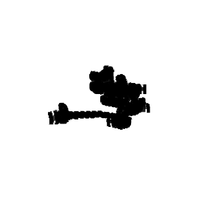 CC(=O)CNC(=O)[C@H](CO)NC(=O)[C@H](CCC(=O)O)NC(=O)CNC(=O)[C@H](CO)NC(=O)CCC(NC(=O)CC[C@H](NC(=O)CCCCCCCCCCCCCCCCC(=O)O)C(=O)O)C(=O)O